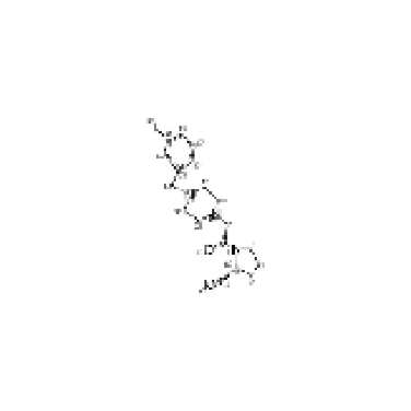 N#C[C@@H]1CCCN1C(=O)CN1CCN(Cc2cccc(I)c2)CC1